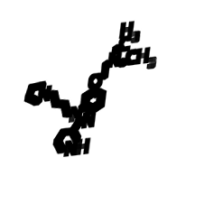 CCN(CC)CCOc1ccc2nc(C3CCCNC3)n(CCCCN3CCCC3)c2c1